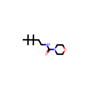 CC(C)(C)C(C)(C)CCNC(=O)N1CCOCC1